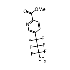 COC(=O)c1ccc(C(F)(F)C(F)(F)C(F)(F)C(F)(F)F)cn1